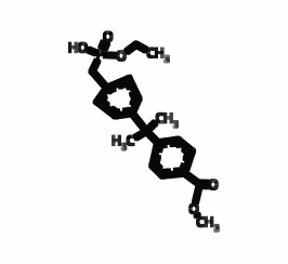 CCOP(=O)(O)Cc1ccc(C(C)(C)c2ccc(C(=O)OC)cc2)cc1